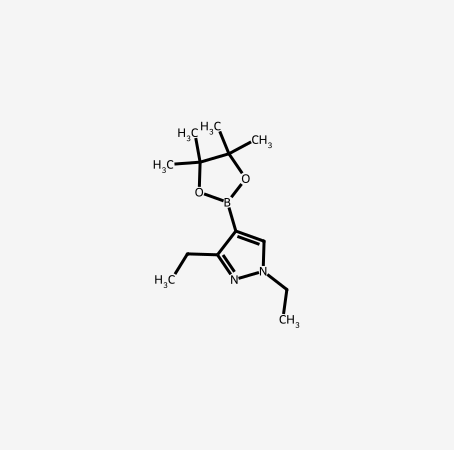 CCc1nn(CC)cc1B1OC(C)(C)C(C)(C)O1